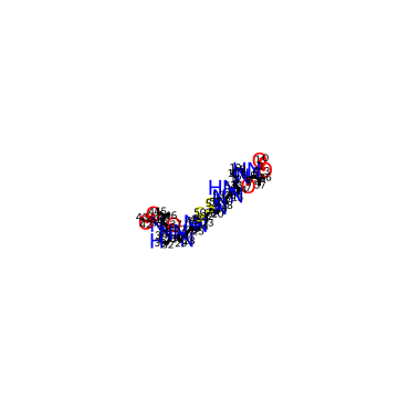 COC(=O)N[C@H](C(=O)N1CCCC1c1cnc(-c2cn3cc(-c4cn5cc(-c6ncc([C@@H]7CCCN7C(=O)[C@@H](NC(=O)OC)C(C)C)[nH]6)nc5s4)sc3n2)[nH]1)C(C)C